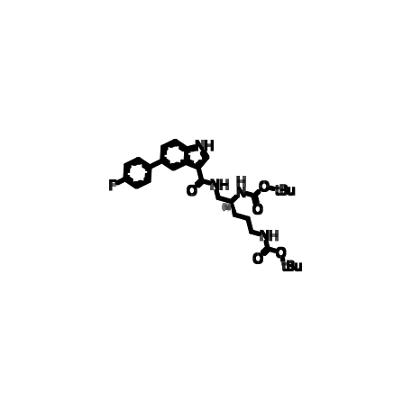 CC(C)(C)OC(=O)NCCC[C@@H](CNC(=O)c1c[nH]c2ccc(-c3ccc(F)cc3)cc12)NC(=O)OC(C)(C)C